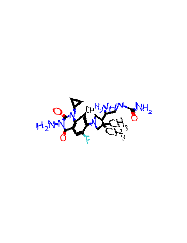 Cc1c(N2CC(C(N)CNC(N)=O)C(C)(C)C2)c(F)cc2c(=O)n(N)c(=O)n(C3CC3)c12